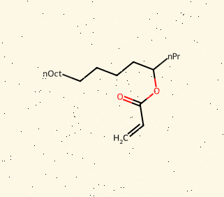 C=CC(=O)OC(CCC)CCCCCCCCCCCC